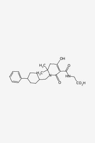 CC1(C)CC(O)=C(C(=O)NCC(=O)O)C(=O)N1CC1CCC(c2ccccc2)CC1